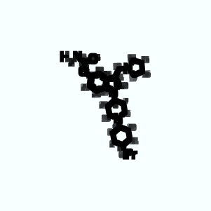 CC(C)C1CCC(N2CCC(n3cc(CN4CCCC4)c4cc(OC(N)=O)ccc43)CC2)CC1